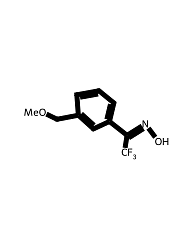 COCc1cccc(/C(=N/O)C(F)(F)F)c1